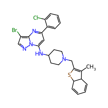 CC1=C(CN2CCC(Nc3cc(-c4ccccc4Cl)nc4c(Br)cnn34)CC2)SC2C=CC=CC12